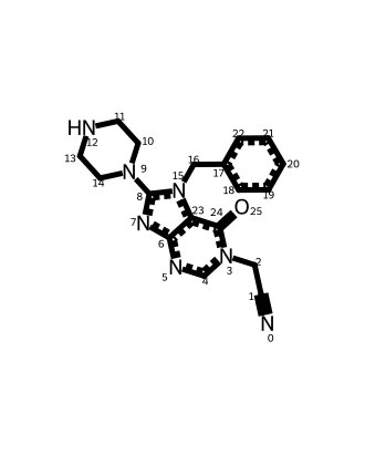 N#CCn1cnc2nc(N3CCNCC3)n(Cc3ccccc3)c2c1=O